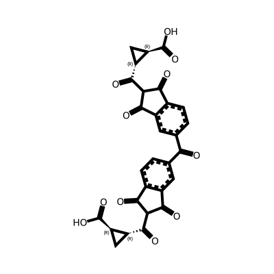 O=C(c1ccc2c(c1)C(=O)C(C(=O)[C@@H]1C[C@H]1C(=O)O)C2=O)c1ccc2c(c1)C(=O)C(C(=O)[C@@H]1C[C@H]1C(=O)O)C2=O